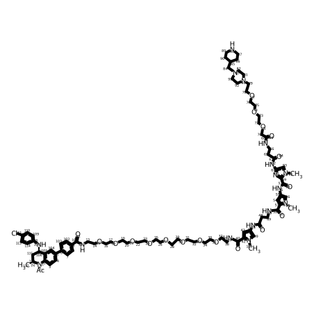 CC(=O)N1c2ccc(-c3ccc(C(=O)NCCOCCOCCOCCOCCOCCOCCOCCOCCNC(=O)c4cc(NC(=O)CCNC(=O)c5cc(NC(=O)c6nc(NC(=O)CCNC(=O)COCCOCCOCCN7CCN(CC8CCNCC8)CC7)cn6C)cn5C)cn4C)cc3)cc2[C@H](Nc2ccc(Cl)cc2)C[C@@H]1C